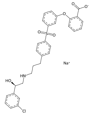 O=C([O-])c1ccccc1Oc1cccc(S(=O)(=O)c2ccc(CCCNC[C@H](O)c3cccc(Cl)c3)cc2)c1.[Na+]